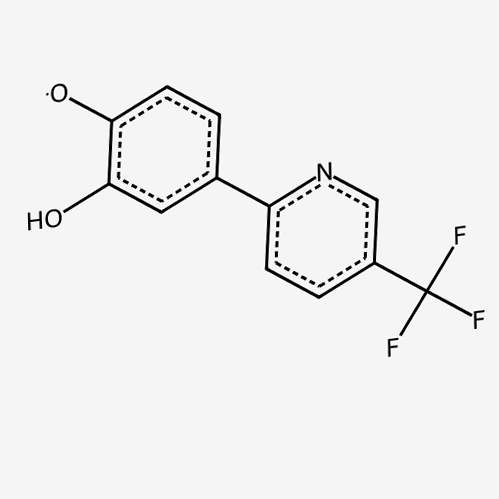 [O]c1ccc(-c2ccc(C(F)(F)F)cn2)cc1O